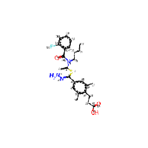 C=C(S/C(=N\N)c1cc(C)c(CCC(=O)O)c(C)c1)N(CCCC)C(=O)c1ccccc1F